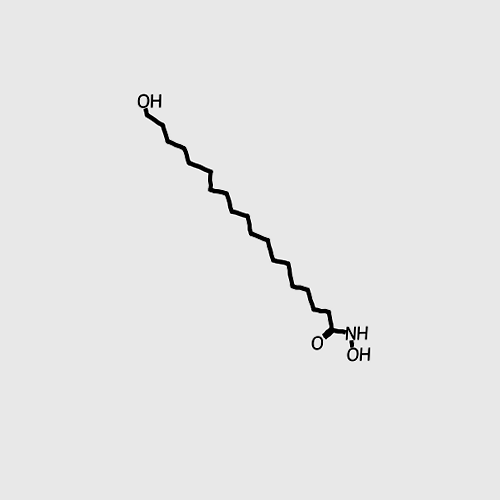 O=C(CCCCCCCCCCCCCCCCCCO)NO